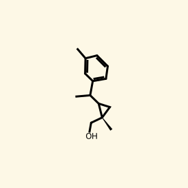 Cc1cccc(C(C)C2C[C@]2(C)CO)c1